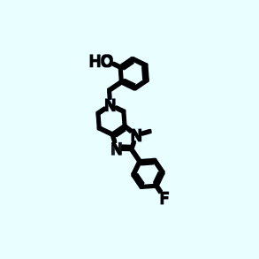 Cn1c(-c2ccc(F)cc2)nc2c1CN(Cc1ccccc1O)CC2